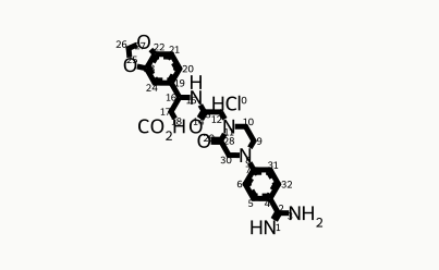 Cl.N=C(N)c1ccc(N2CCN(CC(=O)NC(CC(=O)O)c3ccc4c(c3)OCO4)C(=O)C2)cc1